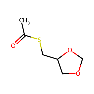 CC(=O)SCC1COCO1